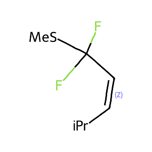 CSC(F)(F)/C=C\C(C)C